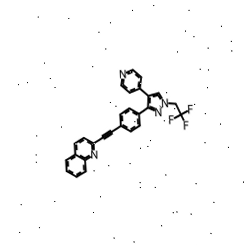 FC(F)(F)Cn1cc(-c2ccncc2)c(-c2ccc(C#Cc3ccc4ccccc4n3)cc2)n1